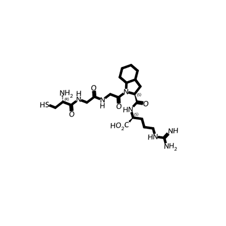 N=C(N)NCCC[C@H](NC(=O)[C@@H]1CC2CCCCC2N1C(=O)CNC(=O)CNC(=O)[C@@H](N)CS)C(=O)O